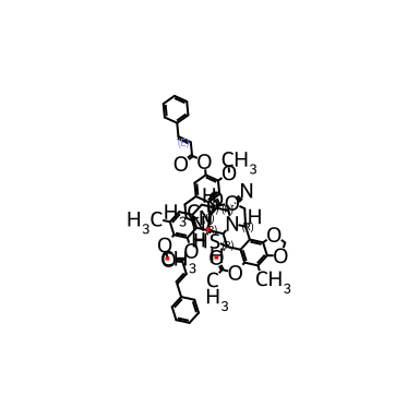 COc1cc2c(cc1OC(=O)/C=C/c1ccccc1)CCN[C@]21CS[C@@H]2c3c(OC(C)=O)c(C)c4c(c3[C@H](COC1=O)N1C2[C@H]2c3c(cc(C)c(OC)c3OC(=O)C=Cc3ccccc3)C[C@@H]([C@@H]1C#N)N2C)OCO4